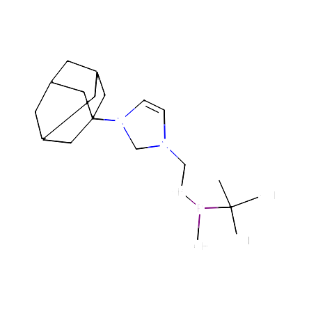 CP(BCN1C=CN(C23CC4CC(CC(C4)C2)C3)C1)C(C)(C)C